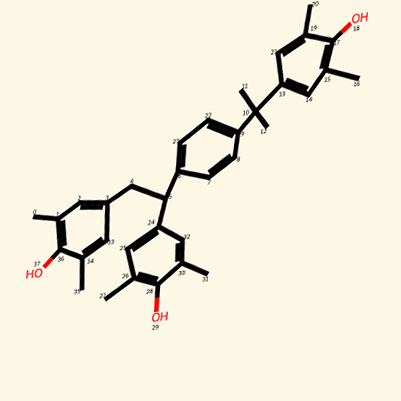 Cc1cc(CC(c2ccc(C(C)(C)c3cc(C)c(O)c(C)c3)cc2)c2cc(C)c(O)c(C)c2)cc(C)c1O